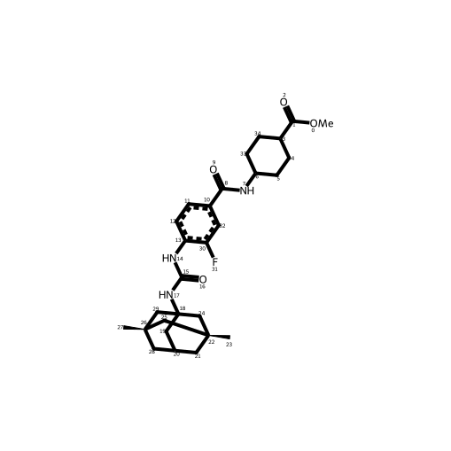 COC(=O)C1CCC(NC(=O)c2ccc(NC(=O)NC34CC5C[C@@](C)(C3)C[C@](C)(C5)C4)c(F)c2)CC1